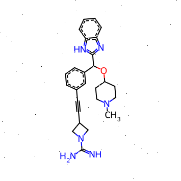 CN1CCC(OC(c2cccc(C#CC3CN(C(=N)N)C3)c2)c2nc3ccccc3[nH]2)CC1